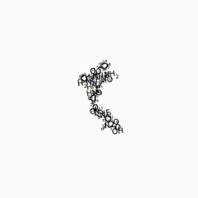 CCn1cc(C(=O)O)c(=O)c2cc(F)c(N3CCN(C(=O)OCc4ccc(NC(=O)[C@H](CCCNC(N)=O)N/C=C(\N)[C@H](Cc5ccccc5)NC(=O)OCc5ccccc5)cc4)CC3)cc21